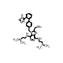 CN(C)CCNc1nnc(NCCN(C)C)c2c1nc(CC(C)(C)C)n2Cc1ccc(-c2ccccc2-c2nnn[nH]2)cc1